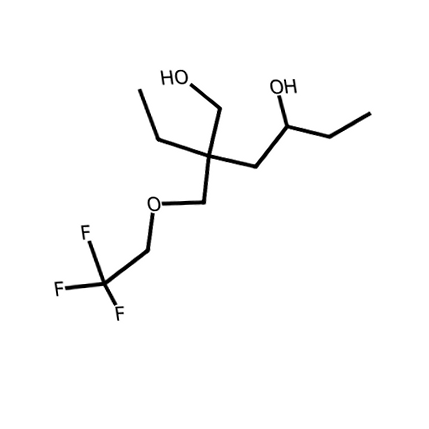 CCC(O)CC(CC)(CO)COCC(F)(F)F